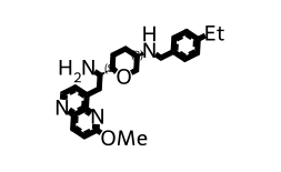 CCc1ccc(CN[C@@H]2CC[C@@H](C(N)Cc3ccnc4ccc(OC)nc34)OC2)cc1